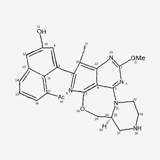 COc1nc2c3c(nc(-c4cc(O)cc5cccc(C(C)=O)c45)c(F)c3n1)OC[C@@H]1CNCCN21